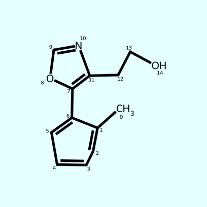 Cc1ccccc1-c1ocnc1CCO